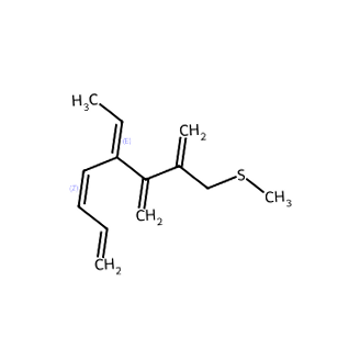 C=C/C=C\C(=C/C)C(=C)C(=C)CSC